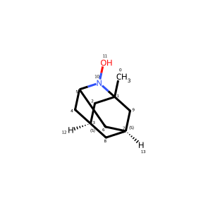 CC12C[C@@H]3CC(C[C@H](C3)C1)N2O